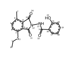 CCSc1ccc(C)c2c1C(=O)N(NC(=O)c1ccccc1O)C2=O